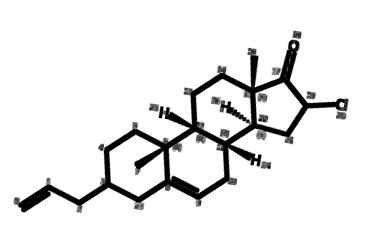 C=CCC1CC[C@@]2(C)C(=CC[C@@H]3[C@H]2CC[C@]2(C)C(=O)C(Cl)C[C@@H]32)C1